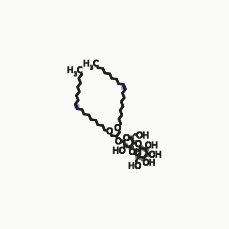 CCCCCCCC/C=C\CCCCCCCCOCC(COCCCCCCCC/C=C\CCCCCCCC)O[C@@H]1O[C@H](CO)[C@@H](O[C@H]2O[C@H](CO)[C@@H](O)[C@H](O)[C@H]2O)[C@H](O)[C@H]1O